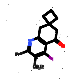 CCOC(=O)c1c(C(C)C)nc2c(c1I)C(=O)CC1(CCC1)C2